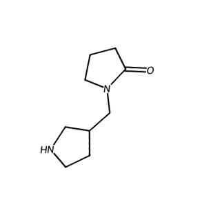 O=C1CCCN1CC1CCNC1